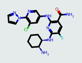 NC(=O)c1cc(F)c(N[C@@H]2CCCC[C@@H]2N)nc1Nc1cnc(-n2cccn2)c(Cl)c1